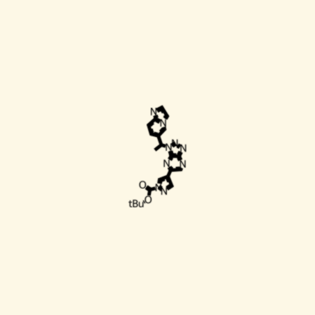 CC(c1ccc2nccn2c1)n1nnc2ncc(-c3cnn(C(=O)OC(C)(C)C)c3)nc21